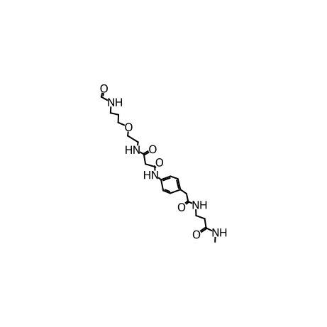 CNC(=O)CCNC(=O)Cc1ccc(NC(=O)CC(=O)NCCOCCCNC=O)cc1